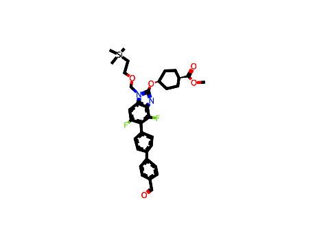 COC(=O)[C@H]1CC[C@H](Oc2nc3c(F)c(-c4ccc(-c5ccc(C=O)cc5)cc4)c(F)cc3n2COCC[Si](C)(C)C)CC1